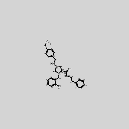 COc1ccc(CN[C@H]2C[C@@H](C(=O)NCCc3ccccc3)N(Cc3ccccc3Cl)C2)cc1